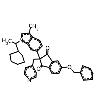 Cc1cn(C(C)C2CCCCC2)c2cc(C3(Cc4ccncc4)C(=O)c4ccc(OCc5ccccc5)cc4C3=O)ccc12